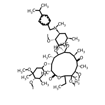 CCC1OC(=O)[C@H](C)[C@H](OC2C[C@@](C)(OC)[C@@H](OI)[C@H](C)O2)[C@H](C)[C@@H](OC2O[C@H](C)C[C@H](N(C)Cc3ccc(C(C)C)cc3)[C@H]2OI)[C@@](C)(OC)C[C@@H](C)C(=O)[C@H](C)[C@@H](OI)[C@]1(C)OI